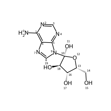 Nc1ncnc2c1ncn2[C@@]1(O)O[C@H](CO)[C@H](O)[C@H]1O